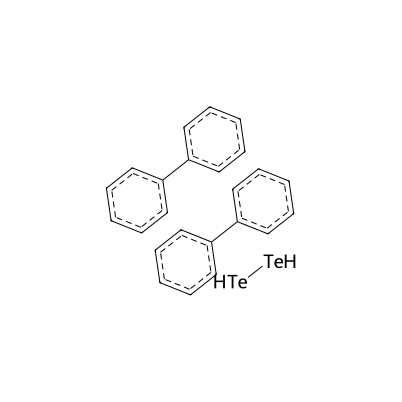 [TeH][TeH].c1ccc(-c2ccccc2)cc1.c1ccc(-c2ccccc2)cc1